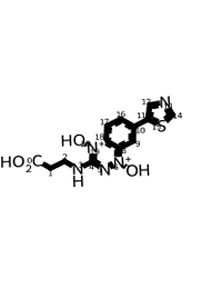 O=C(O)CCNc1n[n+](O)c2cc(-c3cncs3)ccc2[n+]1O